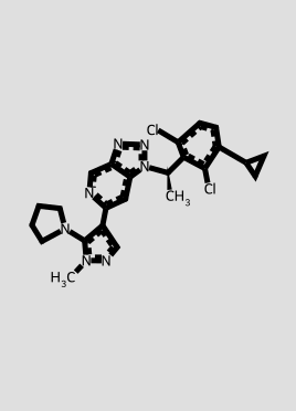 C[C@H](c1c(Cl)ccc(C2CC2)c1Cl)n1nnc2cnc(-c3cnn(C)c3N3CCCC3)cc21